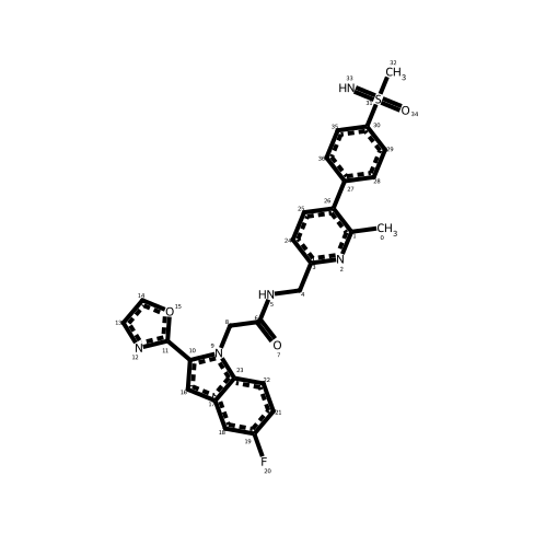 Cc1nc(CNC(=O)Cn2c(-c3ncco3)cc3cc(F)ccc32)ccc1-c1ccc(S(C)(=N)=O)cc1